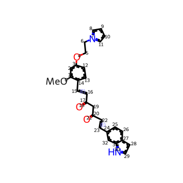 COc1cc(OCCn2cccc2)ccc1/C=C/C(=O)CC(=O)/C=C/c1ccc2cc[nH]c2c1